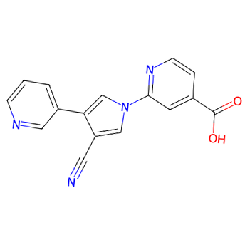 N#Cc1cn(-c2cc(C(=O)O)ccn2)cc1-c1cccnc1